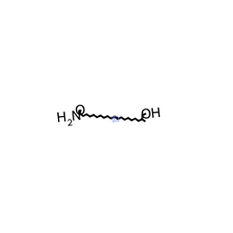 CC(CO)CCCCCC/C=C/CCCCCCCCCC(N)=O